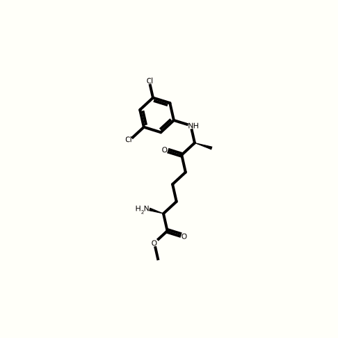 COC(=O)[C@@H](N)CCCC(=O)[C@H](C)Nc1cc(Cl)cc(Cl)c1